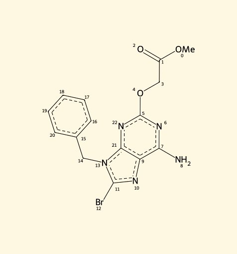 COC(=O)COc1nc(N)c2nc(Br)n(Cc3ccccc3)c2n1